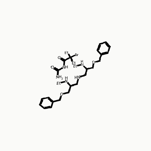 CCC(Br)(CC)C(=O)NC(N)=O.CCNC(CNCC(COCc1ccccc1)NCC)COCc1ccccc1